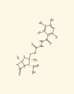 C[C@@]1(COC(=O)NNC(=O)c2c(Cl)cc(O)c(O)c2Cl)S[C@@H]2CC(=O)N2[C@H]1C(=O)O